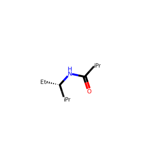 CC[C@H](NC(=O)C(C)C)C(C)C